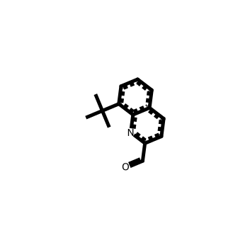 CC(C)(C)c1cccc2ccc(C=O)nc12